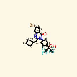 O=c1c2ccc(Br)cc2nc(Cc2ccccc2)n1-c1ccc(C(O)(C(F)(F)F)C(F)(F)F)cc1